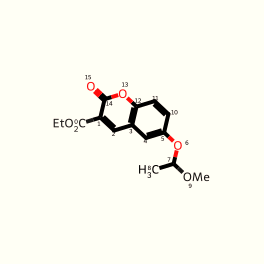 CCOC(=O)c1cc2cc(OC(C)OC)ccc2oc1=O